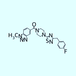 Cn1nnc2cc(C(=O)N3CCN(c4nc(Cc5ccc(F)cc5)ns4)CC3)ccc21